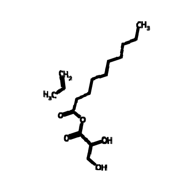 C=CC.CCCCCCCCCC(=O)OC(=O)C(O)CO